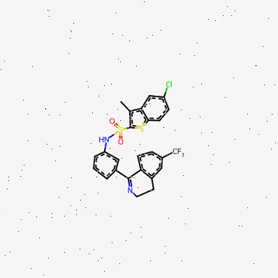 Cc1c(S(=O)(=O)Nc2cccc(C3=NCCc4cc(C(F)(F)F)ccc43)c2)sc2ccc(Cl)cc12